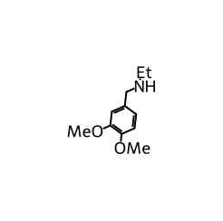 CCNCc1ccc(OC)c(OC)c1